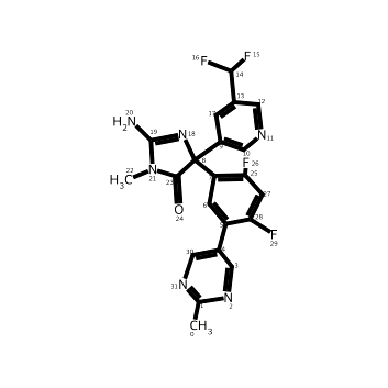 Cc1ncc(-c2cc(C3(c4cncc(C(F)F)c4)N=C(N)N(C)C3=O)c(F)cc2F)cn1